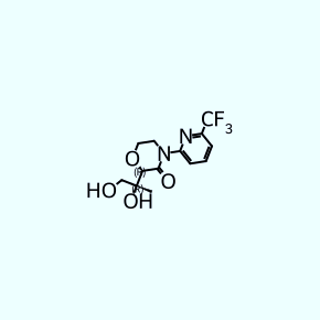 C[C@@](O)(CO)[C@H]1OCCN(c2cccc(C(F)(F)F)n2)C1=O